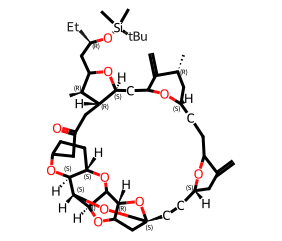 C=C1C[C@@H]2CC[C@@]34CC5O[C@@H]6C(O[C@H]7CCC(CC(=O)C[C@H]8[C@H](CC9O[C@@H](CCC1O2)C[C@@H](C)C9=C)OC(C[C@@H](CC)O[Si](C)(C)C(C)(C)C)[C@@H]8C)O[C@@H]7[C@@H]6O3)[C@@H]5O4